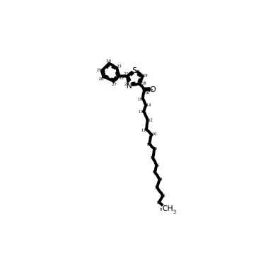 CCCCCCCCCCCCCCCCC(=O)c1csc(-c2ccccc2)n1